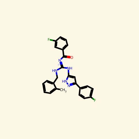 Cc1ccccc1CN/C(=N/C(=O)c1cccc(F)c1)Nc1cc(-c2ccc(F)cc2)n[nH]1